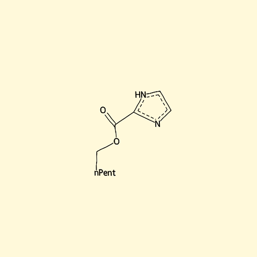 CCCCCCOC(=O)c1ncc[nH]1